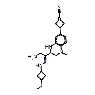 CCC1CC(N/C=C(\CN)C2CN(C)c3ccc(C4CB(C#N)C4)cc3N2)C1